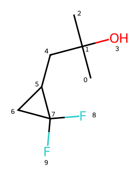 CC(C)(O)CC1CC1(F)F